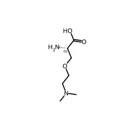 CN(C)CCOC[C@H](N)C(=O)O